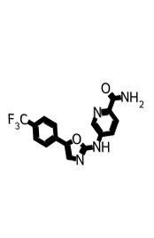 NC(=O)c1ccc(Nc2ncc(-c3ccc(C(F)(F)F)cc3)o2)cn1